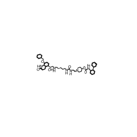 O=C(NCCCCCNC[C@H](O)c1ccc(OCc2ccccc2)c2[nH]c(=O)ccc12)NCCN1CCC(OC(=O)Nc2ccccc2-c2ccccc2)CC1